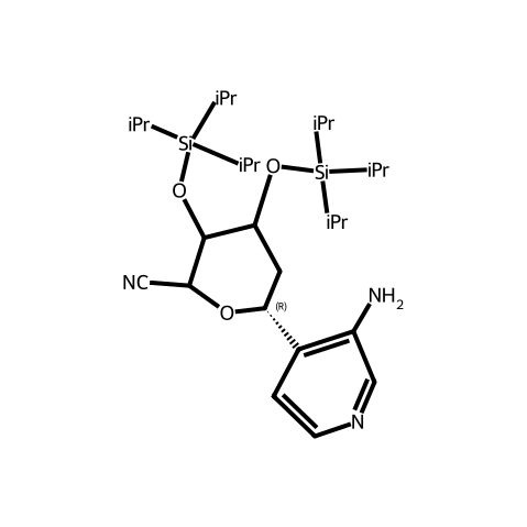 CC(C)[Si](OC1C[C@H](c2ccncc2N)OC(C#N)C1O[Si](C(C)C)(C(C)C)C(C)C)(C(C)C)C(C)C